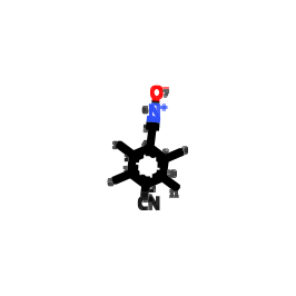 Cc1c(C)c(C#[N+][O-])c(C)c(C)c1C#N